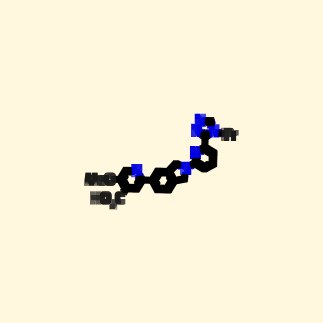 COc1cnc(-c2ccc3c(c2)CN(c2cccc(-c4nncn4C(C)C)n2)C3)cc1C(=O)O